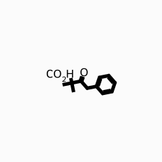 CC(C)(C(=O)O)C(=O)Cc1ccccc1